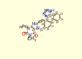 CCCc1nc2c(c(=O)n(C)c(=O)n2CCC)n1Cc1ccc(-c2ccccc2-c2nnn[nH]2)cc1